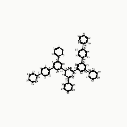 C1=CCCC(c2cc(-c3ccc(-c4ccccn4)cc3)cc(C3CC(c4ccccc4)=NC(c4cc(-c5ccccc5)cc(-c5ccc(-c6ccccn6)cc5)c4)=N3)c2)=C1